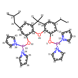 CCc1cc(OP(n2cccc2)n2cccc2)c2c(c1)C(C)(C)c1cc(CC(C)C)cc(OP(n3cccc3)n3cccc3)c1O2